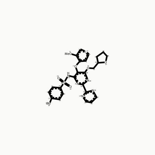 COc1ccccc1Oc1c(NS(=O)(=O)c2ccc(C(C)(C)C)cc2)nc(-c2ncccn2)nc1OCC1CCCO1